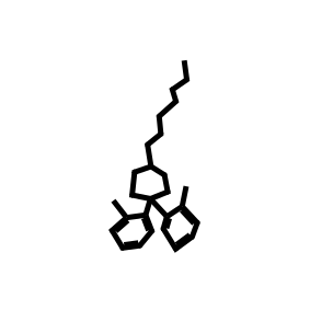 CCCCCCCC1CCC(c2ccccc2C)(c2ccccc2C)CC1